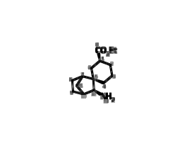 CCOC(=O)[C@H]1CCC[C@]2(C1)C1CCC(C1)[C@@H]2N